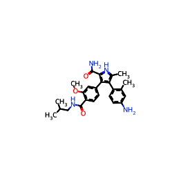 COc1cc(-c2c(C(N)=O)[nH]c(C)c2-c2ccc(N)cc2C)ccc1C(=O)NCC(C)C